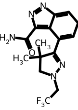 CC1(C)CN(CC(F)(F)F)N=C1C1=CCC=C2N=NC(C(N)=O)=C21